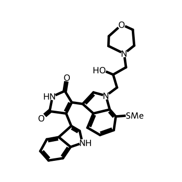 CSc1cccc2c(C3=C(c4c[nH]c5ccccc45)C(=O)NC3=O)cn(CC(O)CN3CCOCC3)c12